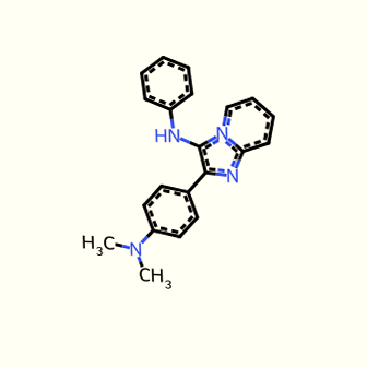 CN(C)c1ccc(-c2nc3ccccn3c2Nc2ccccc2)cc1